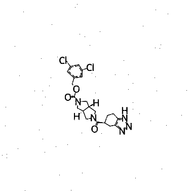 O=C(OCc1cc(Cl)cc(Cl)c1)N1C[C@@H]2CN(C(=O)[C@H]3CCc4[nH]nnc4C3)C[C@H]2C1